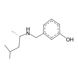 CC(C)C[C@H](C)NCc1cccc(O)c1